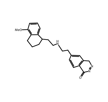 COc1cccc2c1CCCC2CCNCCc1ccc2c(c1)CN=NC2=O